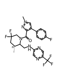 C[C@@H]1CC(F)(F)CN(C(=O)c2nn(C)cc2-c2ccc(F)cc2)C1CNc1cnc(C(F)(F)F)cn1